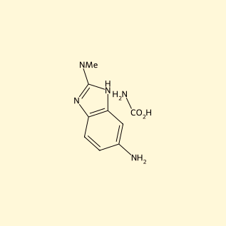 CNc1nc2ccc(N)cc2[nH]1.NC(=O)O